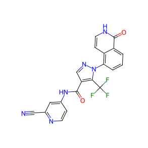 N#Cc1cc(NC(=O)c2cnn(-c3cccc4c(=O)[nH]ccc34)c2C(F)(F)F)ccn1